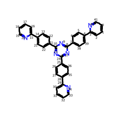 c1ccc(-c2ccc(-c3nc(-c4ccc(-c5ccccn5)cc4)nc(-c4ccc(-c5ccccn5)cc4)n3)cc2)nc1